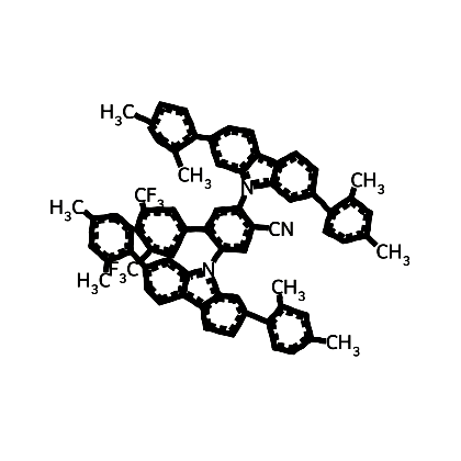 Cc1ccc(-c2ccc3c4ccc(-c5ccc(C)cc5C)cc4n(-c4cc(-c5cc(C(F)(F)F)cc(C(F)(F)F)c5)c(-n5c6cc(-c7ccc(C)cc7C)ccc6c6ccc(-c7ccc(C)cc7C)cc65)cc4C#N)c3c2)c(C)c1